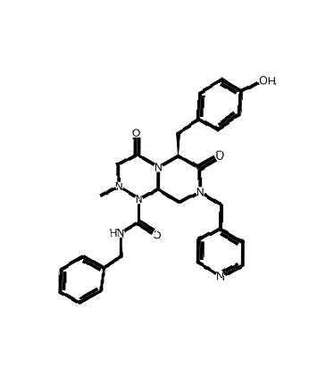 CN1CC(=O)N2C(CN(Cc3ccncc3)C(=O)[C@@H]2Cc2ccc(O)cc2)N1C(=O)NCc1ccccc1